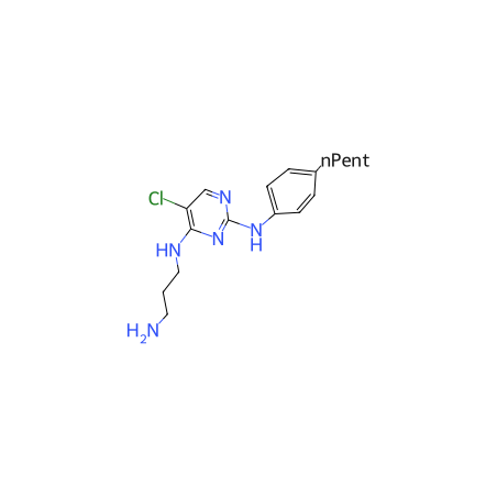 CCCCCc1ccc(Nc2ncc(Cl)c(NCCCN)n2)cc1